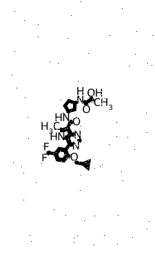 Cc1[nH]c2c(-c3cc(C(F)F)ccc3OCC3CC3)ncnc2c1C(=O)NC1CCC(NC(=O)[C@H](C)O)C1